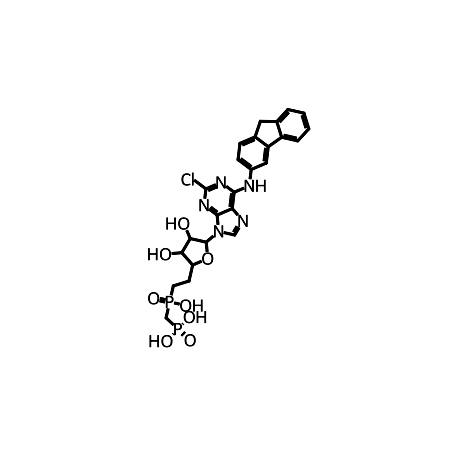 O=P(O)(O)CP(=O)(O)CCC1OC(n2cnc3c(Nc4ccc5c(c4)-c4ccccc4C5)nc(Cl)nc32)C(O)C1O